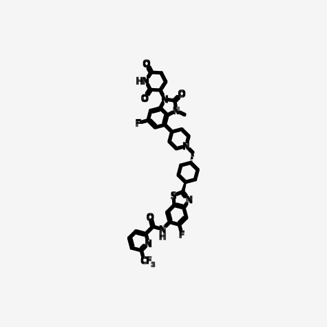 Cn1c(=O)n(C2CCC(=O)NC2=O)c2cc(F)cc(C3CCN(C[C@H]4CC[C@H](c5nc6cc(F)c(NC(=O)c7cccc(C(F)(F)F)n7)cc6s5)CC4)CC3)c21